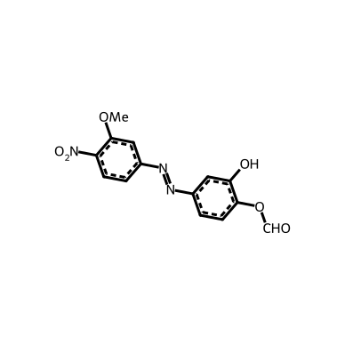 COc1cc(N=Nc2ccc(OC=O)c(O)c2)ccc1[N+](=O)[O-]